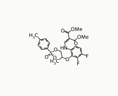 COC(=O)C(=CNc1ccc(F)c(F)c1OC(C)COS(=O)(=O)c1ccc(C)cc1)C(=O)OC